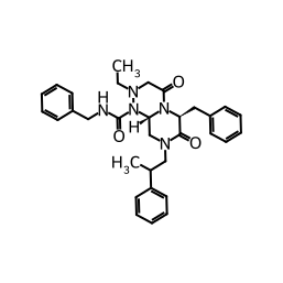 CCN1CC(=O)N2[C@@H](Cc3ccccc3)C(=O)N(CC(C)c3ccccc3)C[C@@H]2N1C(=O)NCc1ccccc1